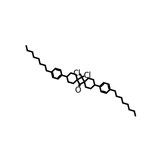 CCCCCCCCc1ccc(C2CCC3(CC2)C(=O)C2(CCC(c4ccc(CCCCCCCC)cc4)CC2)C3(Cl)Cl)cc1